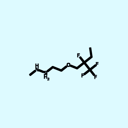 CCC(F)(COCC[SiH2]NC)C(F)(F)F